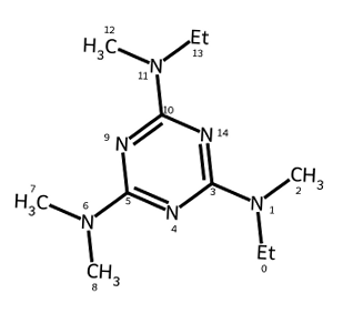 CCN(C)c1nc(N(C)C)nc(N(C)CC)n1